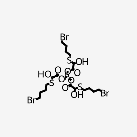 O=C(OP(OC(=O)C(O)SCCCCBr)OC(=O)C(O)SCCCCBr)C(O)SCCCCBr